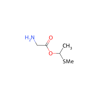 CSC(C)OC(=O)CN